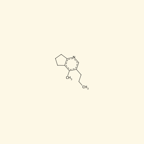 CCCc1cnc2c(c1C)CCC2